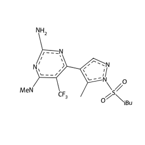 CCC(C)S(=O)(=O)n1ncc(-c2nc(N)nc(NC)c2C(F)(F)F)c1C